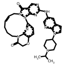 CC(C)N1CCC(n2ccc3cc(Nc4ncc5c(=O)n6n(c5n4)-c4ccc5c(n4)N(CCC/C=C\C6)C(=O)CO5)cnc32)CC1